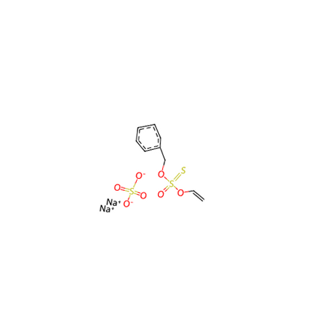 C=COS(=O)(=S)OCc1ccccc1.O=S(=O)([O-])[O-].[Na+].[Na+]